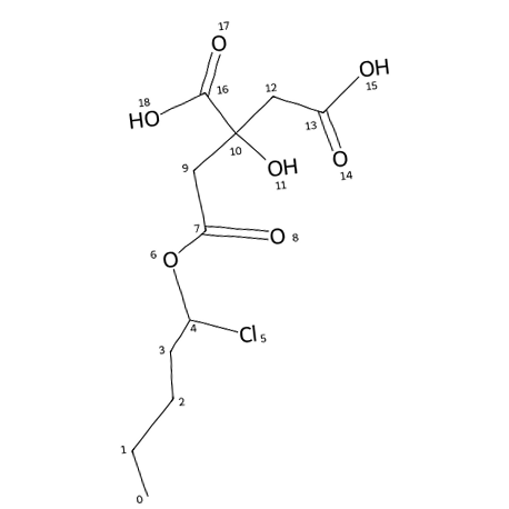 CCCCC(Cl)OC(=O)CC(O)(CC(=O)O)C(=O)O